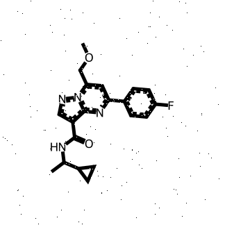 COCc1cc(-c2ccc(F)cc2)nc2c(C(=O)NC(C)C3CC3)cnn12